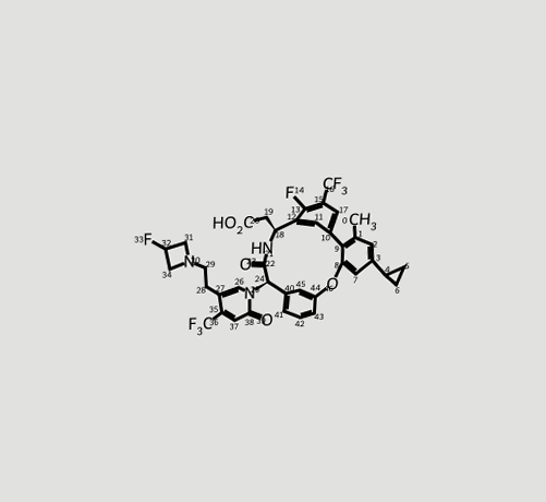 Cc1cc(C2CC2)cc2c1-c1cc(c(F)c(C(F)(F)F)c1)[C@H](CC(=O)O)NC(=O)[C@H](n1cc(CCN3CC(F)C3)c(C(F)(F)F)cc1=O)c1cccc(c1)O2